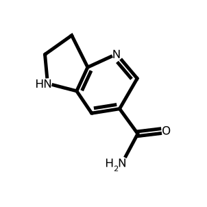 NC(=O)c1cnc2c(c1)NCC2